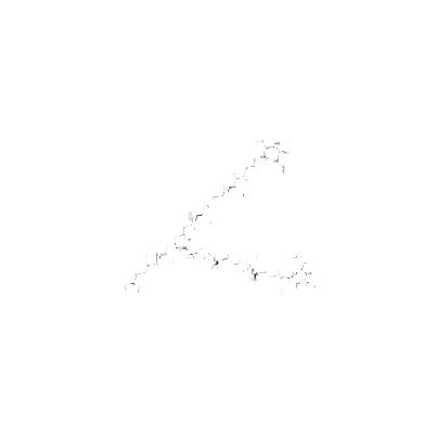 COCC(CO)CCCCNC(=O)C[C@H](CCCCNC(=O)COCCNC(=O)CCCCO[C@@H]1OC(CO)[C@@H](O)[C@H](O)C1O)NC(=O)CCCNC(=O)COCCNC(=O)CCCO[C@@H]1OC(CO)[C@@H](O)[C@H](O)C1O